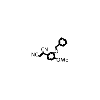 COc1ccc(/C(C#N)=C/C#N)cc1OCc1ccccc1